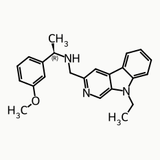 CCn1c2ccccc2c2cc(CN[C@H](C)c3cccc(OC)c3)ncc21